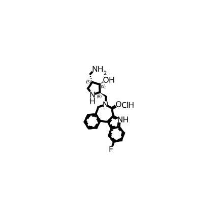 Cl.NC[C@H]1CN[C@H](CN2Cc3ccccc3-c3c([nH]c4ccc(F)cc34)C2=O)[C@H]1O